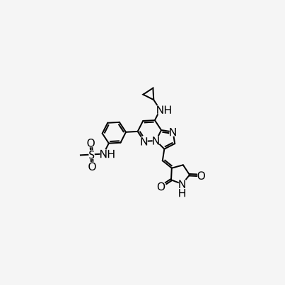 CS(=O)(=O)Nc1cccc(-c2cc(NC3CC3)c3ncc(/C=C4\CC(=O)NC4=O)n3n2)c1